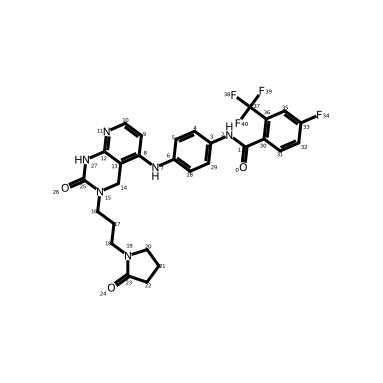 O=C(Nc1ccc(Nc2ccnc3c2CN(CCCN2CCCC2=O)C(=O)N3)cc1)c1ccc(F)cc1C(F)(F)F